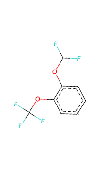 FC(F)Oc1cc[c]cc1OC(F)(F)F